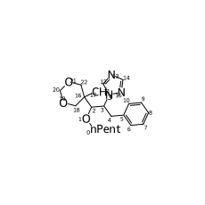 CCCCCOC(C(Cc1ccccc1)n1cncn1)C1(C)COCOC1